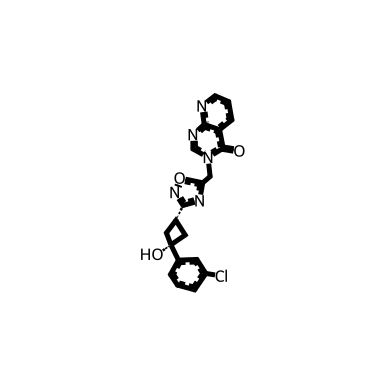 O=c1c2cccnc2ncn1Cc1nc([C@H]2C[C@](O)(c3cccc(Cl)c3)C2)no1